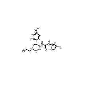 COc1ccc([C@@H]2CN(CCO)CC[C@H]2NC(=O)Nc2cc(C)ns2)nc1